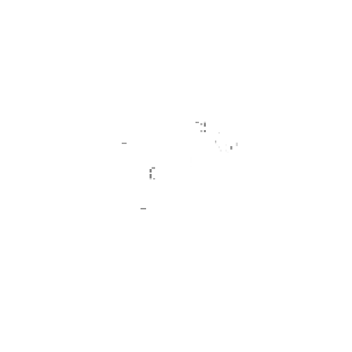 FB(F)F.[BH4-].[Na+]